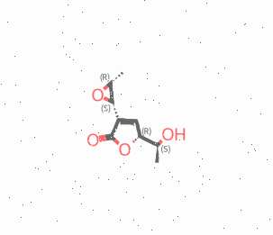 C[C@H](O)[C@H]1C=C([C@@H]2O[C@@H]2C)C(=O)O1